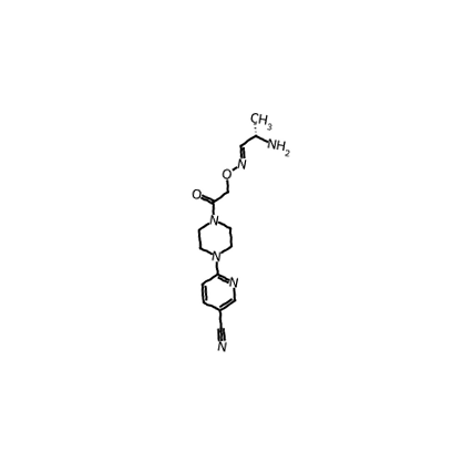 C[C@H](N)/C=N/OCC(=O)N1CCN(c2ccc(C#N)cn2)CC1